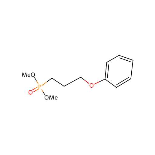 COP(=O)(CCCOc1ccccc1)OC